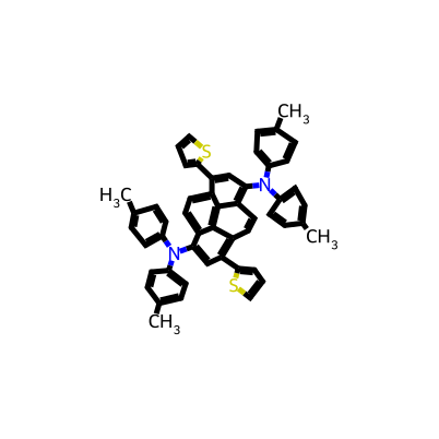 Cc1ccc(N(c2ccc(C)cc2)c2cc(-c3cccs3)c3ccc4c(N(c5ccc(C)cc5)c5ccc(C)cc5)cc(-c5cccs5)c5ccc2c3c54)cc1